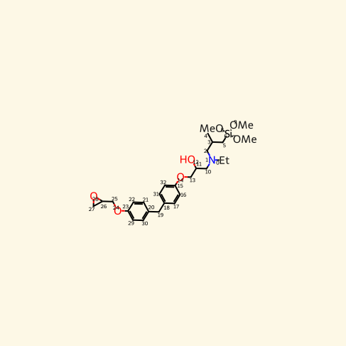 CCN(CC(C)C[Si](OC)(OC)OC)CC(O)COc1ccc(Cc2ccc(OCC3CO3)cc2)cc1